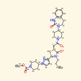 CC(C)(C)CCN1C(=O)[C@H](CC(=O)N2CCC(N3CCc4ccccc4NC3=O)CC2)SC1c1ccn(C2CCN(C(=O)OC(C)(C)C)CC2)n1